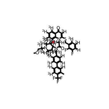 [2H]c1c([2H])c(F)c(F)c(CSc2c([2H])c(=O)c3c([2H])c([2H])c([2H])c([2H])c3n2C([2H])([2H])C(=O)N(C([2H])([2H])c2c([2H])c([2H])c(-c3c([2H])c([2H])c(C(F)(F)F)c(C)c3[2H])c([2H])c2[2H])C2([2H])C([2H])([2H])C([2H])([2H])N(C([2H])([2H])COC)C([2H])([2H])C2([2H])[2H])c1[2H]